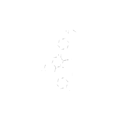 O=C(O)c1cn(-c2ccc(N3CCCC3=O)cc2)c(=O)n(Cc2cccc(F)c2C(F)(F)F)c1=O